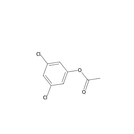 CC(=O)Oc1cc(Cl)cc(Cl)c1